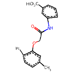 Cc1ccc(C(C)C)c(OCC(=O)Nc2cccc(C(=O)O)c2)c1